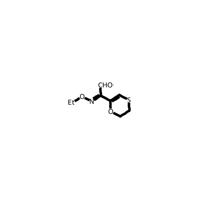 CCON=C([C]=O)C1=CSCCO1